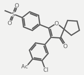 CC(=O)c1ccc(C2=C(c3ccc(S(C)(=O)=O)cc3)OC3(CCCC3)C2=O)cc1Cl